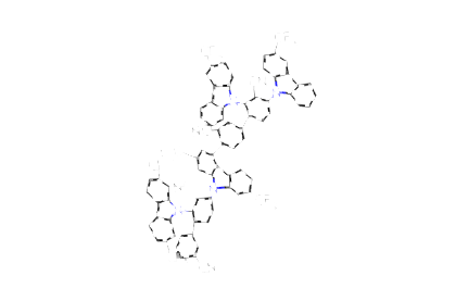 N#Cc1cccc(-c2ccc(-n3c4cc(C(F)(F)F)ccc4c4c(-c5ccc(-c6ccc(-n7c8ccccc8c8cc(C(F)(F)F)ccc87)c(C#N)c6-n6c7ccccc7c7cc(C(F)(F)F)ccc76)cc5C#N)cc(C(F)(F)F)cc43)c(C#N)c2-n2c3cc(C(F)(F)F)ccc3c3ccc(C(F)(F)F)cc32)c1